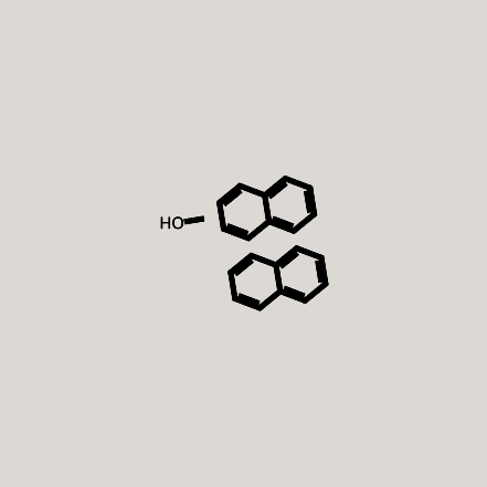 CO.c1ccc2ccccc2c1.c1ccc2ccccc2c1